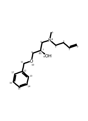 C=CCCN(C)C[C@@H](O)COCc1ccccc1